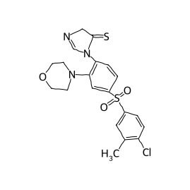 Cc1cc(S(=O)(=O)c2ccc(N3C=NCC3=S)c(N3CCOCC3)c2)ccc1Cl